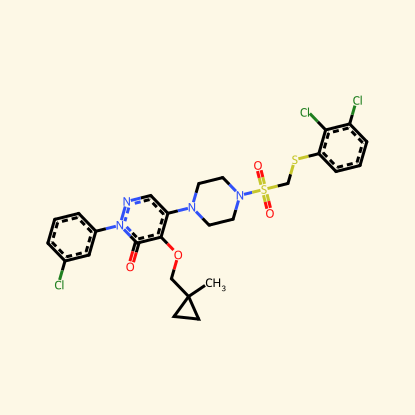 CC1(COc2c(N3CCN(S(=O)(=O)CSc4cccc(Cl)c4Cl)CC3)cnn(-c3cccc(Cl)c3)c2=O)CC1